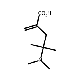 C=C(CC(C)(C)N(C)C)C(=O)O